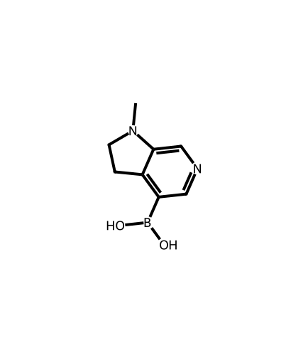 CN1CCc2c(B(O)O)cncc21